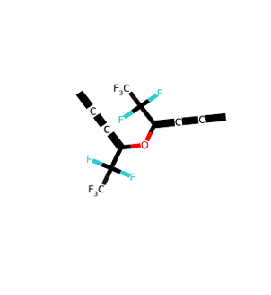 C=C=C=C(OC(=C=C=C)C(F)(F)C(F)(F)F)C(F)(F)C(F)(F)F